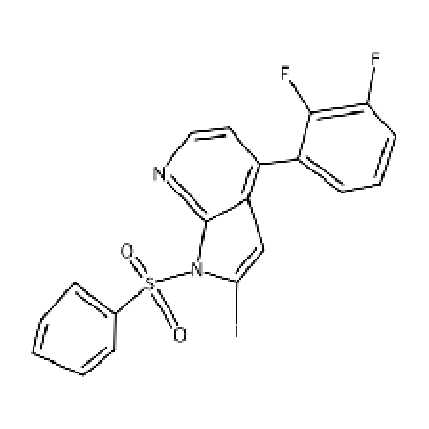 O=S(=O)(c1ccccc1)n1c(I)cc2c(-c3cccc(F)c3F)ccnc21